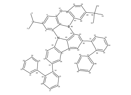 CC(C)c1cc2c3c(c1)-n1c4ccc(-c5ccccc5-c5ccccc5)cc4c4cc(-c5ccccc5-c5ccccc5)cc(c41)B3c1cc(C(C)(C)C)ccc1O2